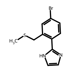 CSCc1cc(Br)ccc1-c1ncc[nH]1